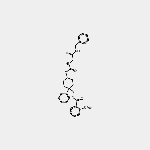 COc1ccccc1C(=O)NCC1(c2ccccc2)CCC(OC(=O)NCC(=O)NCc2ccccc2)CC1